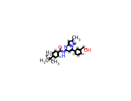 Cc1cc2nc(NC(=O)c3ccc(C(C)(C)C)cc3)cc(-c3cccc(CO)c3)n2n1